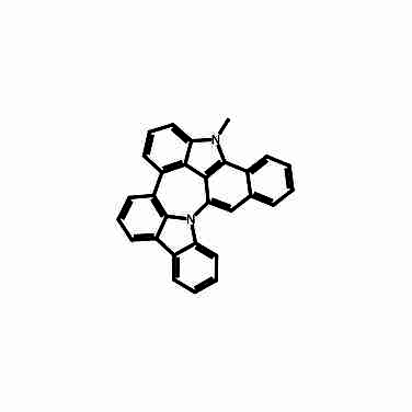 Cn1c2cccc3c4cccc5c6ccccc6n(c6cc7ccccc7c1c6c32)c45